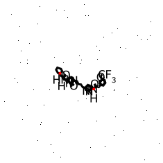 O=C(Cc1cccc(OC(F)(F)F)c1)Nc1ccc(CCCCn2ccc(NC(=O)NC3CCCCC3)nc2=O)nn1